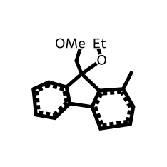 CCOC1(COC)c2ccccc2-c2cccc(C)c21